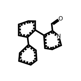 O=Cc1ncccc1-c1ccccc1-c1ccccc1